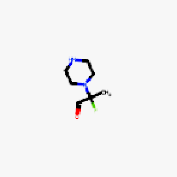 CC(F)(C=O)N1CCNCC1